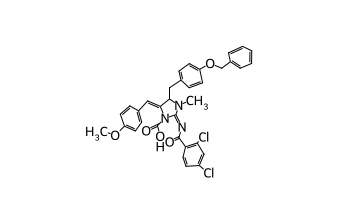 COc1ccc(/C=C2/C(Cc3ccc(OCc4ccccc4)cc3)N(C)/C(=N/C(=O)c3ccc(Cl)cc3Cl)N2C(=O)O)cc1